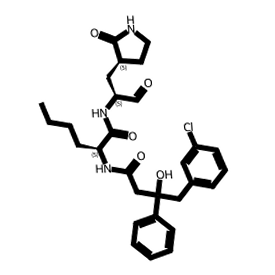 CCCC[C@H](NC(=O)CC(O)(Cc1cccc(Cl)c1)c1ccccc1)C(=O)N[C@H](C=O)C[C@@H]1CCNC1=O